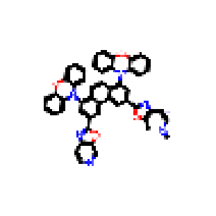 C=N/C=C\c1nc(-c2cc(N3c4ccccc4Oc4ccccc43)c3ccc4c(N5c6ccccc6Oc6ccccc65)cc(-c5nc6ccncc6o5)cc4c3c2)oc1C